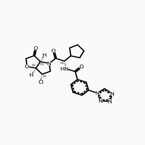 O=C(N[C@H](C(=O)N1C[C@H](Cl)[C@H]2OCC(=O)[C@H]21)C1CCCC1)c1cccc(-n2cnnn2)c1